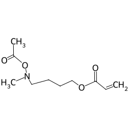 C=CC(=O)OCCCCN(C)OC(C)=O